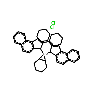 C1=C(C2CCCCC2)[CH]([Zr+2]2([CH]3C(C4CCCCC4)=Cc4c3ccc3ccccc43)[CH]3CCCC[CH]32)c2ccc3ccccc3c21.[Cl-].[Cl-]